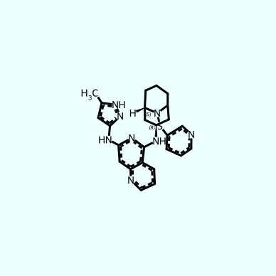 Cc1cc(Nc2cc3ncccc3c(N[C@@H]3CC4CCC[C@@H](C3)N4Sc3cccnc3)n2)n[nH]1